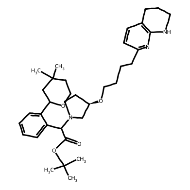 CC1(C)CCOC(c2ccccc2C(C(=O)OC(C)(C)C)N2CC[C@@H](OCCCCc3ccc4c(n3)NCCC4)C2)C1